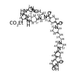 CCOC(=O)c1cnc(Nc2cnn(C)c2)nc1NC1CCC(N2CCN(C(=O)C3CCC(C(=O)N4CCCC(CCCN5CCN(c6ccc(C7CCC(=O)NC7=O)cc6)CC5)C4)CC3)CC2)CC1